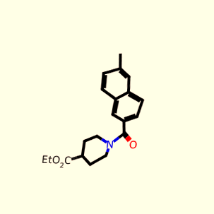 CCOC(=O)C1CCN(C(=O)c2ccc3cc(C)ccc3c2)CC1